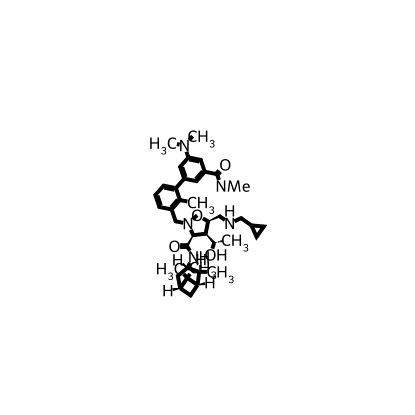 CNC(=O)c1cc(-c2cccc(CN3O[C@@H](CNCC4CC4)[C@@H]([C@H](C)O)[C@H]3C(=O)N[C@H]3C[C@H]4C[C@@H]([C@@H]3C)C4(C)C)c2C)cc(N(C)C)c1